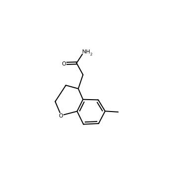 Cc1ccc2c(c1)C(CC(N)=O)CCO2